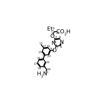 CC[C@@H](Oc1cncc(Oc2cc(C)cc(-c3cccc(CN)c3)c2)n1)C(=O)O